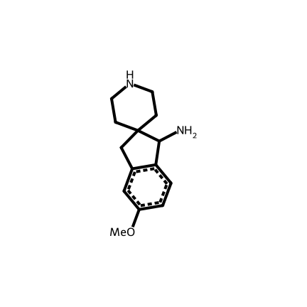 COc1ccc2c(c1)CC1(CCNCC1)C2N